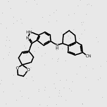 N#Cc1ccc2c(c1)CCCC2Nc1ccc2[nH]nc(C3=CCC4(CC3)OCCO4)c2c1